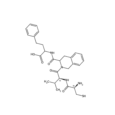 CC(C)[C@H](NC(=O)[C@@H](N)CS)C(=O)N1Cc2ccccc2CC1C(=O)NC(CCc1ccccc1)C(=O)O